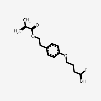 B=C(F)CCCOc1ccc(CCOC(=O)C(=C)C)cc1